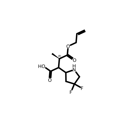 C=CCOC(=O)[C@H](C)C(C(=O)O)C1CC(F)(F)CN1